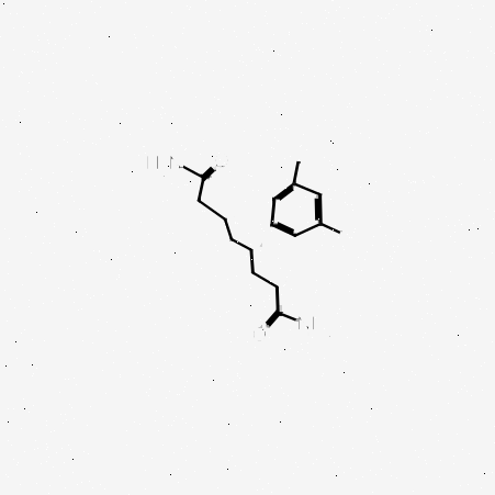 Cc1cccc(C)c1.NC(=O)CCCCCCC(N)=O